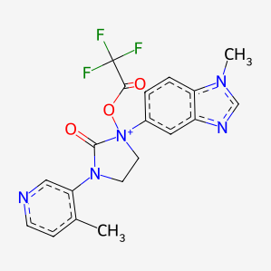 Cc1ccncc1N1CC[N+](OC(=O)C(F)(F)F)(c2ccc3c(c2)ncn3C)C1=O